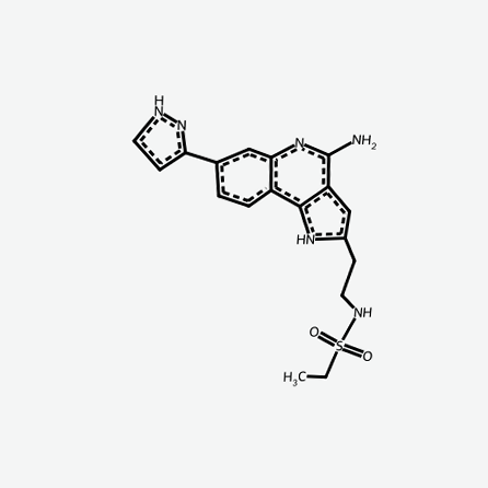 CCS(=O)(=O)NCCc1cc2c(N)nc3cc(-c4cc[nH]n4)ccc3c2[nH]1